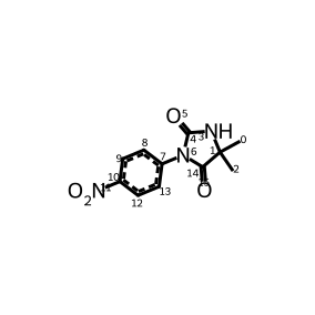 CC1(C)NC(=O)N(c2ccc([N+](=O)[O-])cc2)C1=O